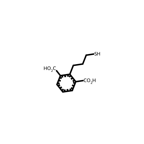 O=C(O)c1cccc(C(=O)O)c1CCCS